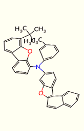 Cc1cccc(N(c2ccc3c(c2)oc2ccc4ccccc4c23)c2cccc3c2oc2c(C(C)(C)C)cccc23)c1